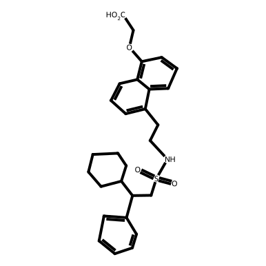 O=C(O)COc1cccc2c(CCNS(=O)(=O)CC(c3ccccc3)C3CCCCC3)cccc12